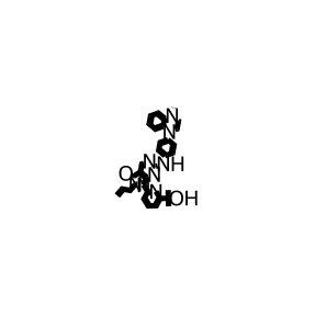 C=CCn1c(=O)c2cnc(Nc3ccc(N4CCN(C)c5ccccc54)cc3)nc2n1-c1cccc(C(C)(C)O)n1